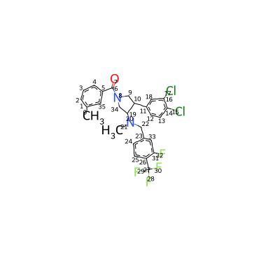 Cc1cccc(C(=O)N2CC(c3ccc(Cl)c(Cl)c3)C(N(C)Cc3ccc(C(F)(F)F)c(F)c3)C2)c1